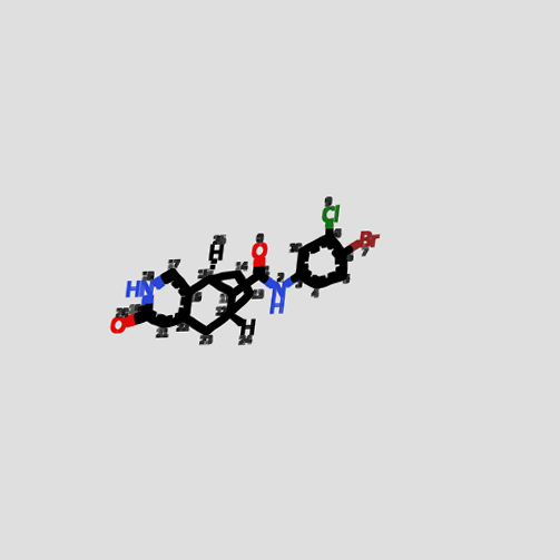 O=C(Nc1ccc(Br)c(Cl)c1)C1[C@@H]2CC[C@@H]1c1c[nH]c(=O)cc1C2